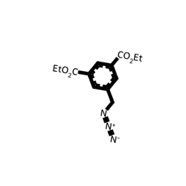 CCOC(=O)c1cc(CN=[N+]=[N-])cc(C(=O)OCC)c1